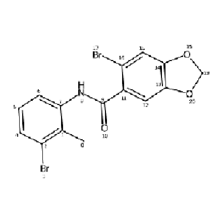 Cc1c(Br)cccc1NC(=O)c1cc2c(cc1Br)OCO2